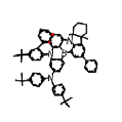 Cc1cc2c3c(c1)N1c4c(cc(-c5ccccc5)cc4C4(C)CCCCC14C)B3c1ccc(N(c3ccc(C(C)(C)C)cc3)c3ccc(C(C)(C)C)cc3)cc1N2c1ccc(C(C)(C)C)cc1-c1ccccc1